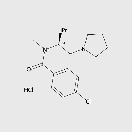 CC(C)[C@@H](CN1CCCC1)N(C)C(=O)c1ccc(Cl)cc1.Cl